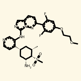 COCCOc1cc(F)c(-c2ccc3cnc(Nc4cnccc4[C@H]4C[C@@H](N)[C@@H](S(C)(=O)=O)[C@@H](C)C4)n3n2)c(F)c1